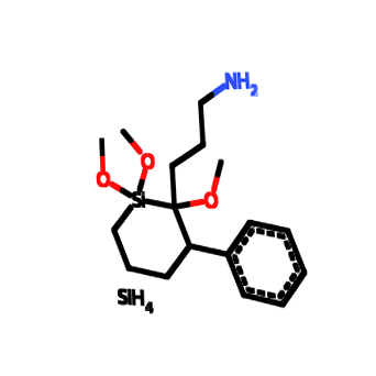 COC1(CCCN)C(c2ccccc2)CCC[Si]1(OC)OC.[SiH4]